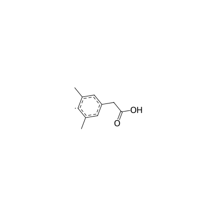 Cc1[c]c(C)cc(CC(=O)O)c1